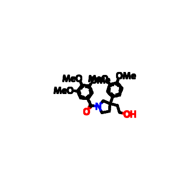 COc1ccc(C2(CCO)CCN(C(=O)c3cc(OC)c(OC)c(OC)c3)C2)cc1OC